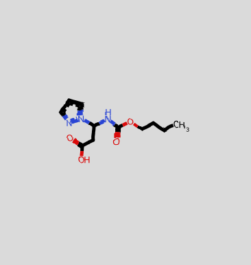 CCCCOC(=O)NC(CC(=O)O)n1cccn1